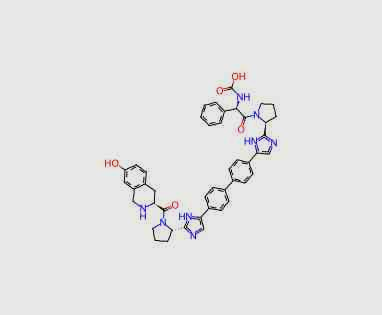 O=C(O)N[C@@H](C(=O)N1CCC[C@H]1c1ncc(-c2ccc(-c3ccc(-c4cnc([C@@H]5CCCN5C(=O)[C@@H]5Cc6ccc(O)cc6CN5)[nH]4)cc3)cc2)[nH]1)c1ccccc1